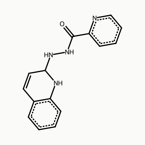 O=C(NNC1C=Cc2ccccc2N1)c1ccccn1